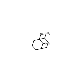 CC(=O)OC1C2CCCC1(OC(C)=O)C(C)CC2